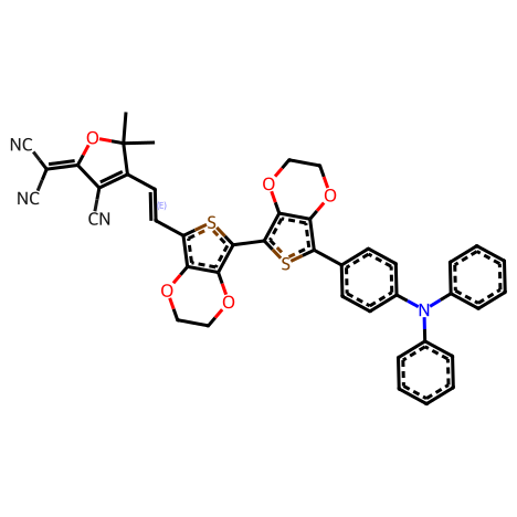 CC1(C)OC(=C(C#N)C#N)C(C#N)=C1/C=C/c1sc(-c2sc(-c3ccc(N(c4ccccc4)c4ccccc4)cc3)c3c2OCCO3)c2c1OCCO2